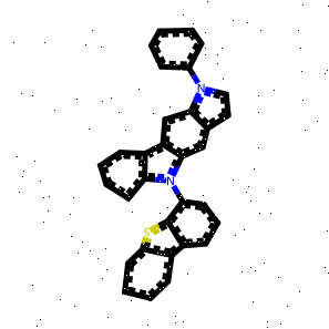 c1ccc(-n2ccc3cc4c(cc32)c2ccccc2n4-c2cccc3c2sc2ccccc23)cc1